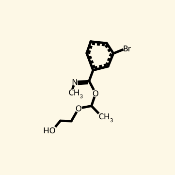 C/N=C(\OC(C)OCCO)c1cccc(Br)c1